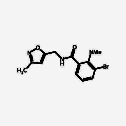 CNc1c(Br)cccc1C(=O)NCc1cc(C)no1